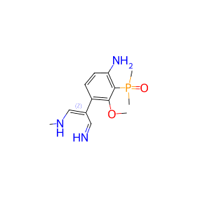 CN/C=C(\C=N)c1ccc(N)c(P(C)(C)=O)c1OC